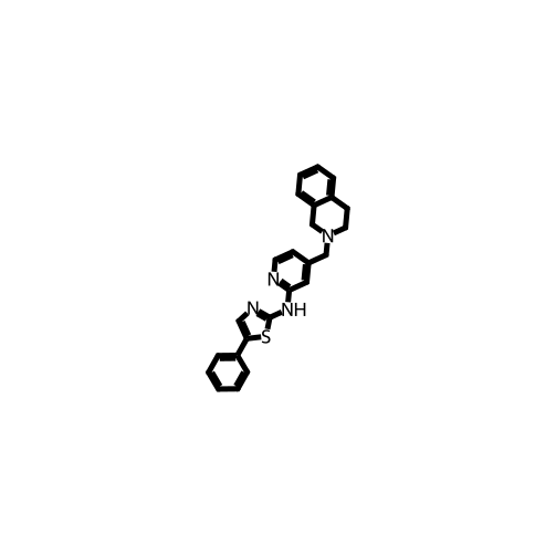 c1ccc(-c2cnc(Nc3cc(CN4CCc5ccccc5C4)ccn3)s2)cc1